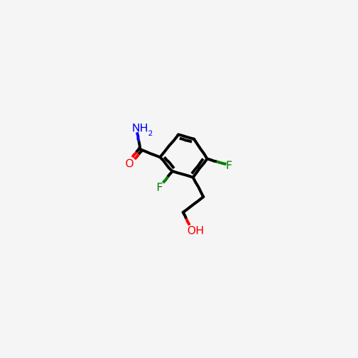 NC(=O)c1ccc(F)c(CCO)c1F